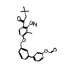 Cc1c(OCc2cccc(-c3cccc(OC=O)c3)c2)ccc(C(=O)CC(C)(C)C)c1O